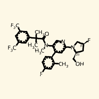 Cc1cc(F)ccc1-c1cc(N2C[C@@H](F)C[C@H]2CO)ncc1N(C)C(=O)C(C)(C)c1cc(C(F)(F)F)cc(C(F)(F)F)c1